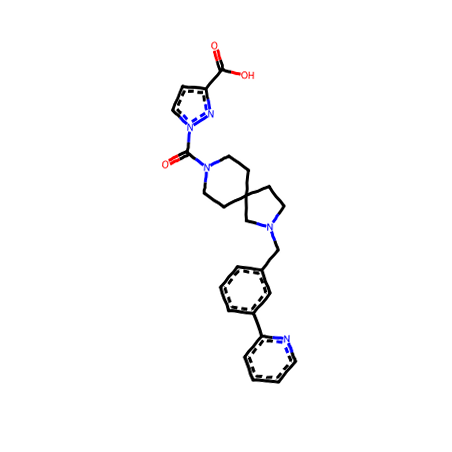 O=C(O)c1ccn(C(=O)N2CCC3(CCN(Cc4cccc(-c5ccccn5)c4)C3)CC2)n1